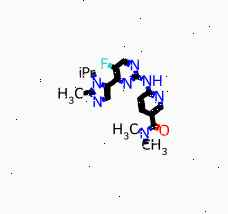 Cc1ncc(-c2nc(Nc3ccc(C(=O)N(C)C)cn3)ncc2F)n1C(C)C